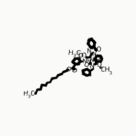 CCCCCCCCCCCCCCOC(=O)c1ccc(OC)c(NC(=O)C(c2nc3ccccc3c(=O)n2-c2ccccc2)N2C(=O)C(OCC)N(Cc3ccccc3)C2=O)c1